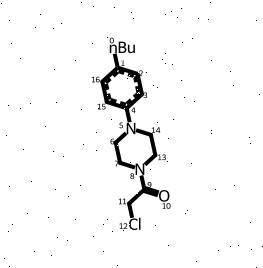 CCCCc1ccc(N2CCN(C(=O)CCl)CC2)cc1